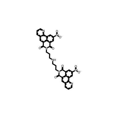 O=C1c2cc([N+](=O)[O-])cc3c2c(cc2cccnc23)C(=O)N1CCCNCCCN1C(=O)c2cc([N+](=O)[O-])cc3c2c(cc2cccnc23)C1=O